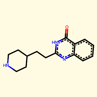 O=c1[nH]c(CCC2CCNCC2)nc2ccccc12